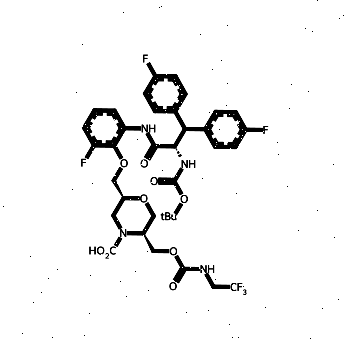 CC(C)(C)OC(=O)N[C@H](C(=O)Nc1cccc(F)c1OC[C@@H]1CN(C(=O)O)[C@H](COC(=O)NCC(F)(F)F)CO1)C(c1ccc(F)cc1)c1ccc(F)cc1